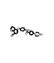 N#Cc1ccc(OC2CCC(NC(=O)c3ccc(N4CCNCC4)cc3)CC2)c2cccnc12